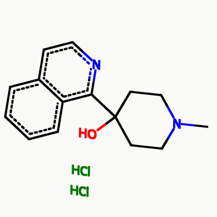 CN1CCC(O)(c2nccc3ccccc23)CC1.Cl.Cl